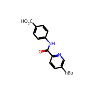 CCCCc1ccc(C(=O)Nc2ccc(C(=O)O)cc2)nc1